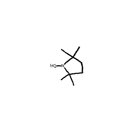 CC1(C)[CH]CC(C)(C)N1O